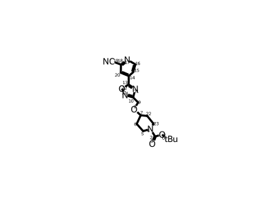 CC(C)(C)OC(=O)N1CCC(OCc2noc(-c3ccnc(C#N)c3)n2)CC1